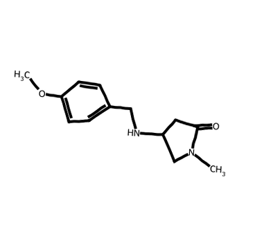 COc1ccc(CNC2CC(=O)N(C)C2)cc1